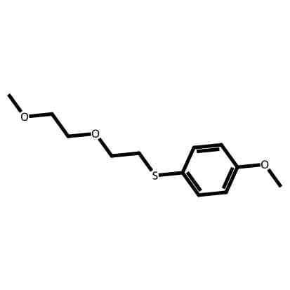 COCCOCCSc1ccc(OC)cc1